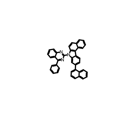 c1ccc(-c2nc(-n3c4cc(-c5cccc6ccccc56)ccc4c4c5ccccc5ccc43)nc3ccccc23)cc1